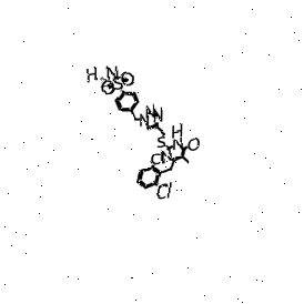 Cc1c(Cc2c(Cl)cccc2Cl)nc(SCc2cn(Cc3ccc(S(N)(=O)=O)cc3)nn2)[nH]c1=O